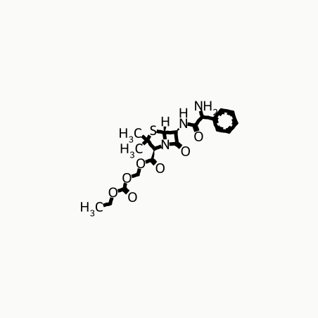 CCOC(=O)OCOC(=O)[C@@H]1N2C(=O)[C@@H](NC(=O)C(N)c3ccccc3)[C@H]2SC1(C)C